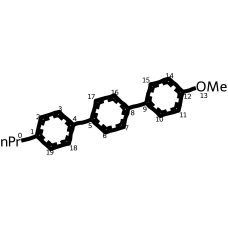 CCCc1ccc(-c2ccc(-c3ccc(OC)cc3)cc2)cc1